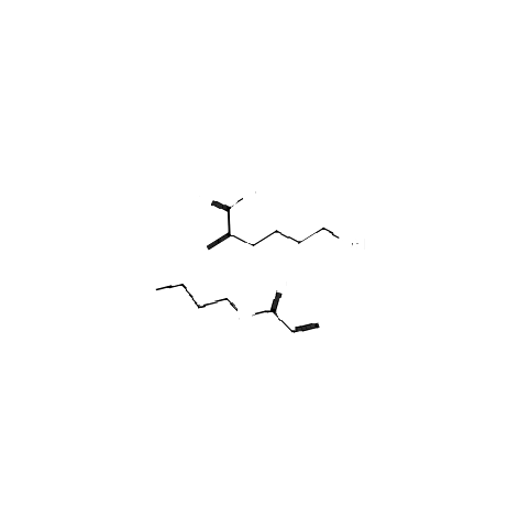 C=C(CCCCO)C(=O)O.C=CC(=O)OCCCC